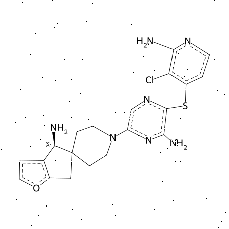 Nc1nc(N2CCC3(CC2)Cc2occc2[C@H]3N)cnc1Sc1ccnc(N)c1Cl